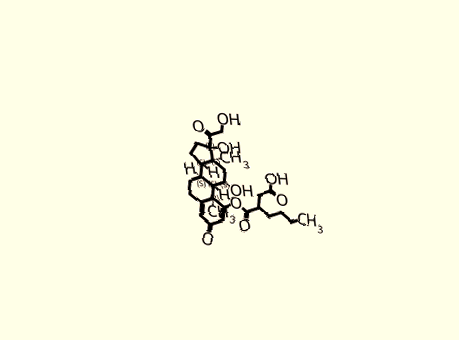 CCCCC(CC(=O)O)C(=O)OC1=CC(=O)C=C2CC[C@@H]3[C@H]([C@@H](O)C[C@@]4(C)[C@H]3CC[C@]4(O)C(=O)CO)[C@]21C